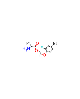 CCc1ccc(O[C@H](C)COC(=O)[C@@H](N)C(C)C)c(F)c1